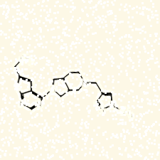 Cn1cc(CN2CCC3CN(c4ncnc5sc(CC(F)(F)F)cc45)CC3C2)cn1